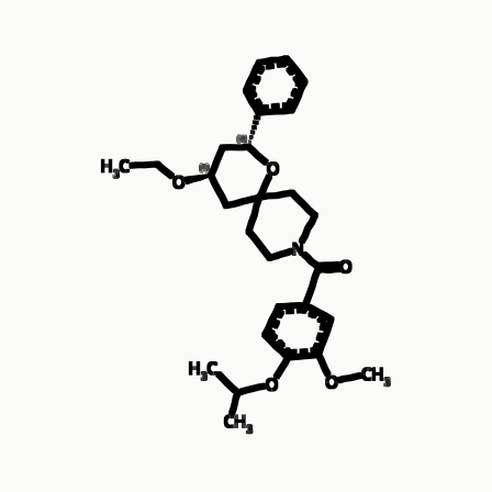 CCO[C@H]1C[C@H](c2ccccc2)OC2(CCN(C(=O)c3ccc(OC(C)C)c(OC)c3)CC2)C1